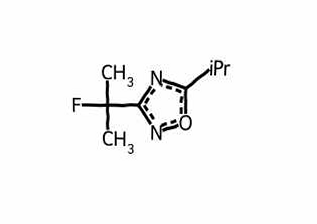 CC(C)c1nc(C(C)(C)F)no1